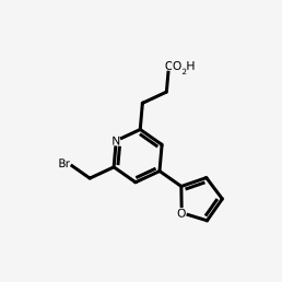 O=C(O)CCc1cc(-c2ccco2)cc(CBr)n1